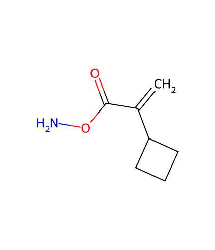 C=C(C(=O)ON)C1CCC1